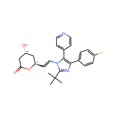 CC(C)(C)c1nc(-c2ccc(F)cc2)c(-c2ccncc2)n1/C=C/[C@@H]1C[C@@H](O)CC(=O)O1